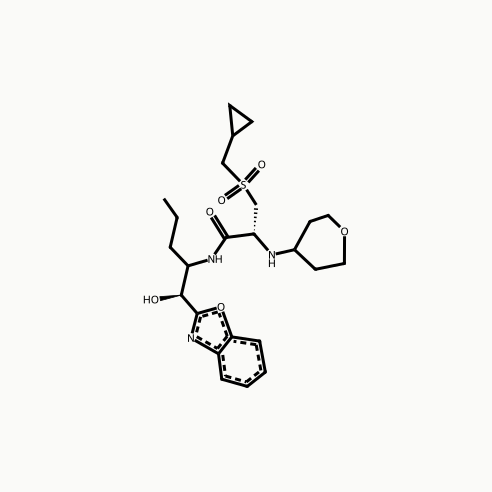 CCCC(NC(=O)[C@H](CS(=O)(=O)CC1CC1)NC1CCOCC1)[C@H](O)c1nc2ccccc2o1